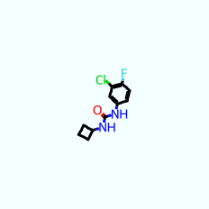 O=C(Nc1ccc(F)c(Cl)c1)NC1CCC1